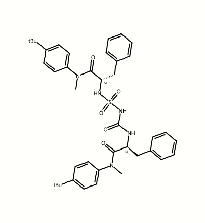 CN(C(=O)[C@H](Cc1ccccc1)NC(=O)NS(=O)(=O)N[C@@H](Cc1ccccc1)C(=O)N(C)c1ccc(C(C)(C)C)cc1)c1ccc(C(C)(C)C)cc1